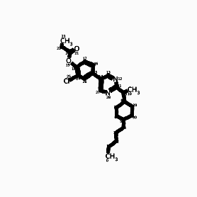 CCCCCC1CCC(C(C)c2ncc(-c3ccc(OC(=O)CC)c(Cl)c3)cn2)CC1